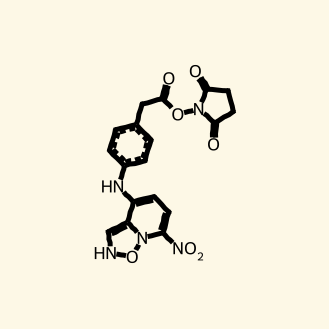 O=C(Cc1ccc(NC2=CC=C([N+](=O)[O-])N3ONC=C23)cc1)ON1C(=O)CCC1=O